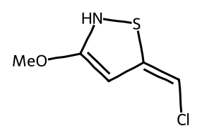 COC1=CC(=CCl)SN1